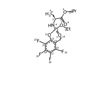 CCO[P@@](=O)(N[C@@H](C)C(=O)OC(C)C)Oc1c(F)c(F)c(F)c(F)c1F